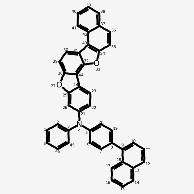 c1ccc(N(c2ccc(-c3cccc4ccccc34)cc2)c2ccc3c(c2)oc2ccc4c(oc5ccc6ccccc6c54)c23)cc1